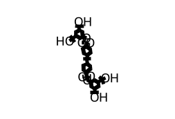 CC(C)(O)c1cc(OS(=O)(=O)c2ccc(C(C)(C)c3ccc(S(=O)(=O)Oc4cc(C(C)(C)O)cc(C(C)(C)O)c4)cc3)cc2)cc(C(C)(C)O)c1